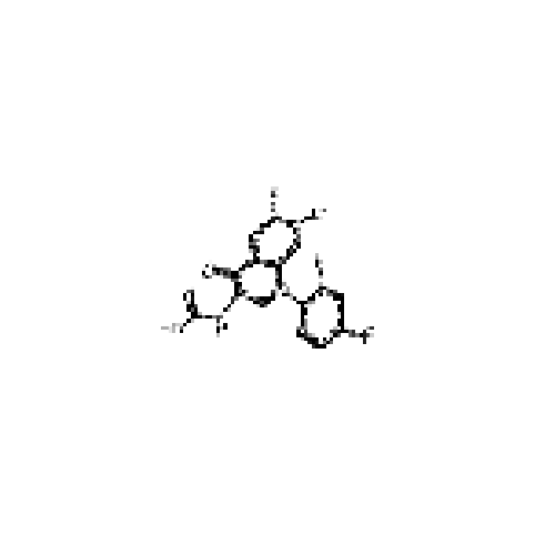 O=C(O)Bc1cn(-c2ccc(F)cc2F)c2cc(Cl)c(F)cc2c1=O